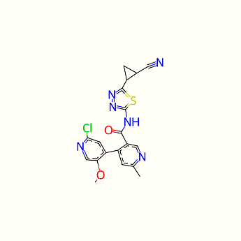 COc1cnc(Cl)cc1-c1cc(C)ncc1C(=O)Nc1nnc(C2CC2C#N)s1